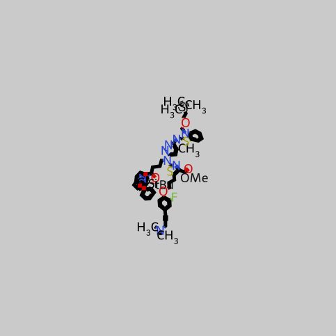 COC(=O)c1nc(N(CCCC(C[N+]23CCC(CC2)CC3)O[Si](c2ccccc2)(c2ccccc2)C(C)(C)C)c2cc(C)c(/N=c3\sc4ccccc4n3COCC[Si](C)(C)C)nn2)sc1CCCOc1ccc(C#CCN(C)C)cc1F